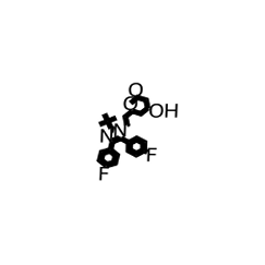 CC(C)(C)c1nc(-c2ccc(F)cc2)c(-c2ccc(F)cc2)n1CCC1CC(O)CC(=O)O1